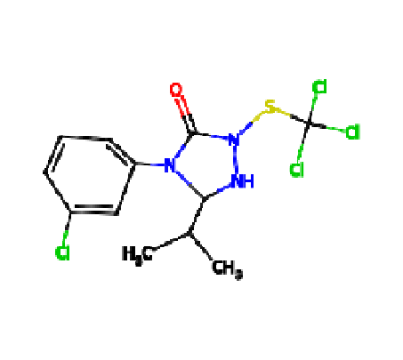 CC(C)C1NN(SC(Cl)(Cl)Cl)C(=O)N1c1cccc(Cl)c1